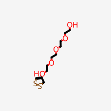 C1=CSSC1.OCCOCCOCCOCCO